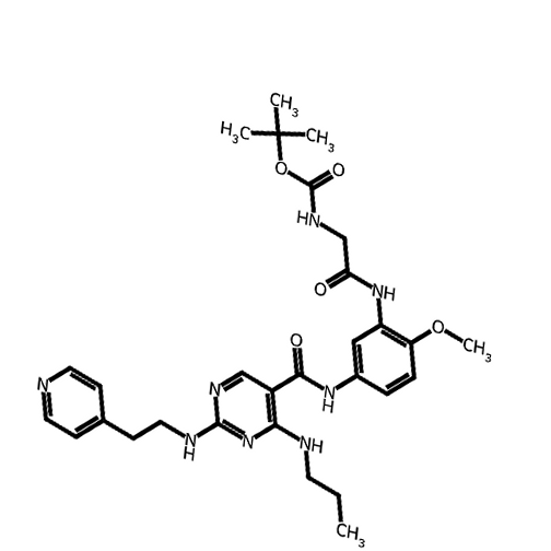 CCCNc1nc(NCCc2ccncc2)ncc1C(=O)Nc1ccc(OC)c(NC(=O)CNC(=O)OC(C)(C)C)c1